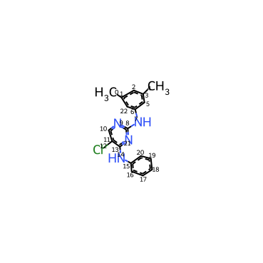 Cc1cc(C)cc(Nc2ncc(Cl)c(Nc3ccccc3)n2)c1